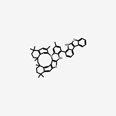 Cc1cc(-c2cccc3c2[nH]c2sc4ccccc4c23)c2c(c1)N1c3cc4c(cc3C)C(C)(C)CCC4(C)CC3(C)CCC(C)(C)c4cc5sc(c1c5cc43)B2